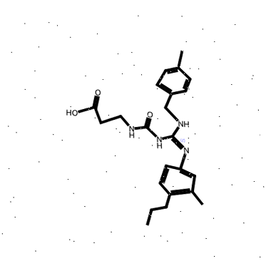 CCCc1ccc(/N=C(/NCc2ccc(C)cc2)NC(=O)NCCC(=O)O)cc1C